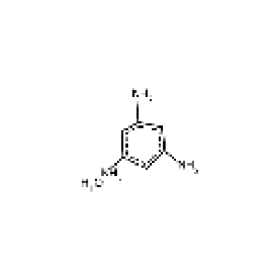 Nc1cc(N)cc(N)c1.O